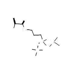 C=C(C)C(=O)NCCC[Si](C)(O[Si](C)(C)C)O[Si](C)(C)C